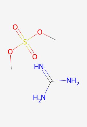 COS(=O)(=O)OC.N=C(N)N